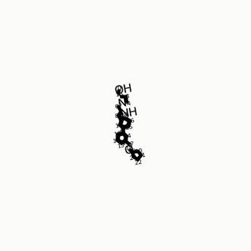 OC[C@H]1CCN1Cc1cc2cc(-c3cccc(COC4CCCC4)c3)ccc2[nH]1